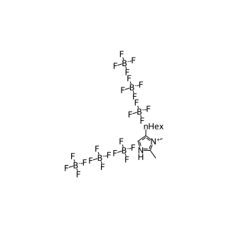 CCCCCCc1c[nH]c(C)[n+]1C.F[B-](F)(F)F.F[B-](F)(F)F.F[B-](F)(F)F.F[B-](F)(F)F.F[B-](F)(F)F.F[B-](F)(F)F